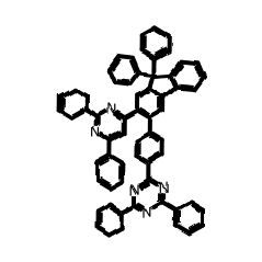 C1=CCCC(c2nc(-c3ccccc3)cc(-c3cc4c(cc3-c3ccc(-c5nc(C6=CC=CCC6)nc(-c6ccccc6)n5)cc3)-c3ccccc3C4(c3ccccc3)c3ccccc3)n2)=C1